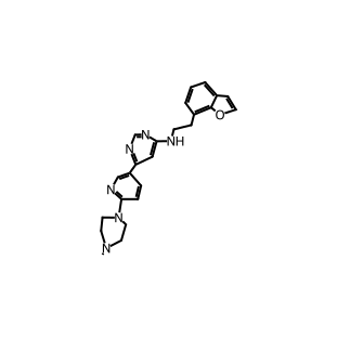 CN1CCN(c2ccc(-c3cc(NCCc4cccc5ccoc45)ncn3)cn2)CC1